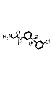 NCC(=O)Nc1cccc(S(=O)(=O)c2cccc(Cl)c2)c1